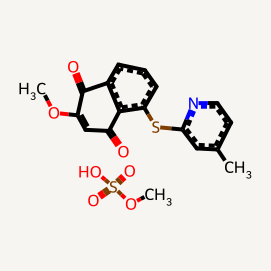 COC1=CC(=O)c2c(Sc3cc(C)ccn3)cccc2C1=O.COS(=O)(=O)O